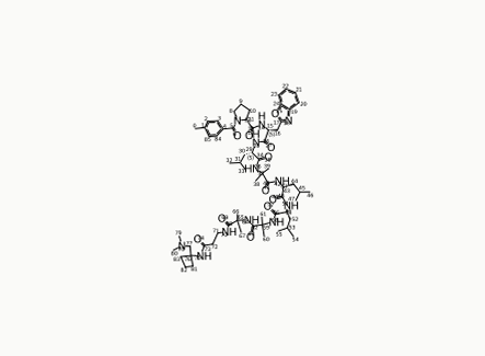 Cc1ccc(C(=O)N2CCC[C@H]2C(=O)N[C@@H](Cc2nc3ccccc3o2)C(=O)N[C@@H](CC(C)C)C(=O)NC(C)(C)C(=O)N[C@@H](CC(C)C)C(=O)N[C@@H](CC(C)C)C(=O)NC(C)(C)C(=O)NC(C)(C)C(=O)NCCC(=O)NC2(CN(C)C)CCC2)cc1